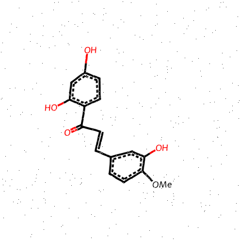 COc1ccc(C=CC(=O)c2ccc(O)cc2O)cc1O